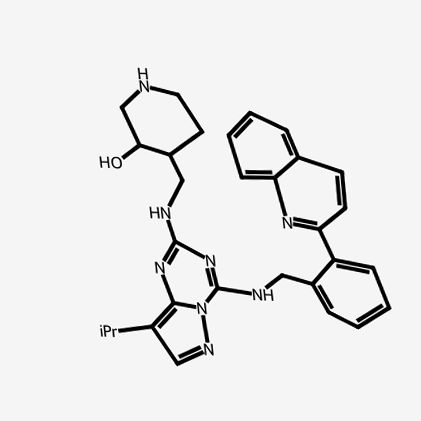 CC(C)c1cnn2c(NCc3ccccc3-c3ccc4ccccc4n3)nc(NCC3CCNCC3O)nc12